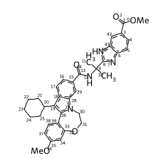 COC(=O)c1ccc2nc(C(C)(C)NC(=O)c3ccc4c(C5CCCCC5)c5n(c4c3)CCOc3cc(OC)ccc3-5)[nH]c2c1